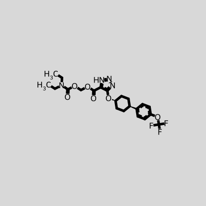 CCN(CC)C(=O)OCOC(=O)c1[nH]nnc1O[C@H]1CC[C@H](c2ccc(OC(F)(F)F)cc2)CC1